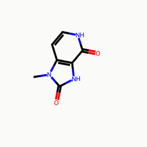 Cn1c(=O)[nH]c2c(=O)[nH]ccc21